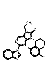 CCn1c(=O)n([C@@H]2CCOc3c(F)ccc(F)c32)c2nc(-n3cnc4ccccc43)ncc21